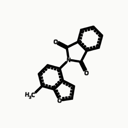 Cc1ccc(N2C(=O)c3ccccc3C2=O)c2ccoc12